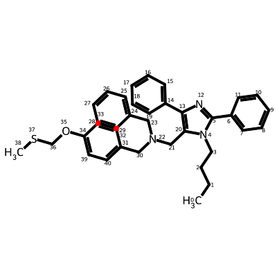 CCCCn1c(-c2ccccc2)nc(-c2ccccc2)c1CN(Cc1ccccc1)Cc1ccc(OCSC)cc1